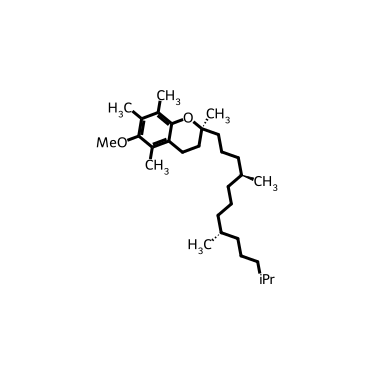 COc1c(C)c(C)c2c(c1C)CC[C@](C)(CCC[C@@H](C)CCC[C@@H](C)CCCC(C)C)O2